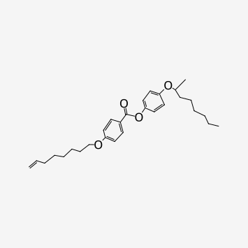 C=CCCCCCCOc1ccc(C(=O)Oc2ccc(OC(C)CCCCCC)cc2)cc1